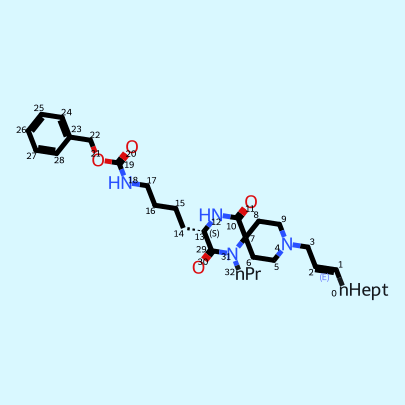 CCCCCCC/C=C/CN1CCC2(CC1)C(=O)N[C@@H](CCCCNC(=O)OCc1ccccc1)C(=O)N2CCC